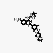 Cc1cc(-c2nc(NC3=NC(C)(C)CO3)c3cc(N)ccc3n2)cc(C)c1Oc1cc2nncn2cn1